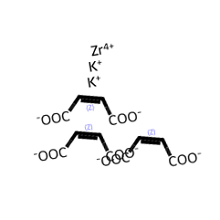 O=C([O-])/C=C\C(=O)[O-].O=C([O-])/C=C\C(=O)[O-].O=C([O-])/C=C\C(=O)[O-].[K+].[K+].[Zr+4]